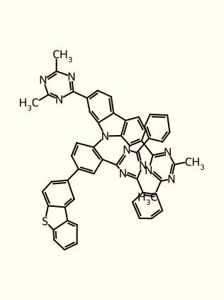 Cc1nc(C)nc(-c2ccc3c4ccc(-c5nc(C)nc(C)n5)cc4n(-c4ccc(-c5ccc6sc7ccccc7c6c5)cc4-c4nc(-c5ccccc5)nc(-c5ccccc5)n4)c3c2)n1